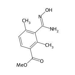 COC(=O)c1ccc(C)c(C(N)=NO)c1C